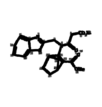 CCOC(=O)CC(=O)N(Cc1nc2ccccc2s1)C1=C(C(=O)OC)C2CCC1C2